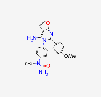 CCCCN(C(N)=O)c1ccc(N2C(N)=c3ccoc3=NC2c2ccc(OC)cc2)cc1